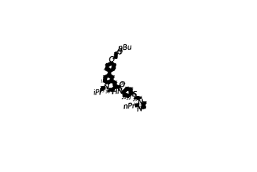 CCCCOCCOc1ccc(-c2ccc3c(c2)C=C(C(=O)Nc2ccc(SCCn4ccnc4CCC)cc2)CCN3CC(C)C)cc1